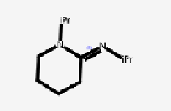 CC(C)/N=C1\CCCCN1C(C)C